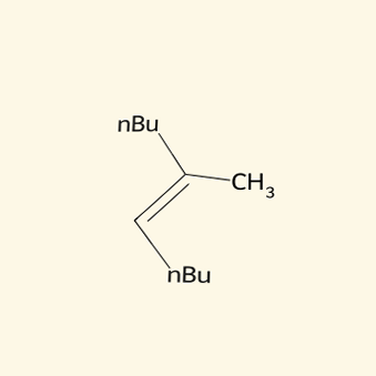 CCCCC=C(C)CCCC